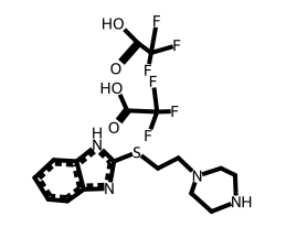 O=C(O)C(F)(F)F.O=C(O)C(F)(F)F.c1ccc2[nH]c(SCCN3CCNCC3)nc2c1